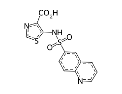 O=C(O)c1ncsc1NS(=O)(=O)c1ccc2ncccc2c1